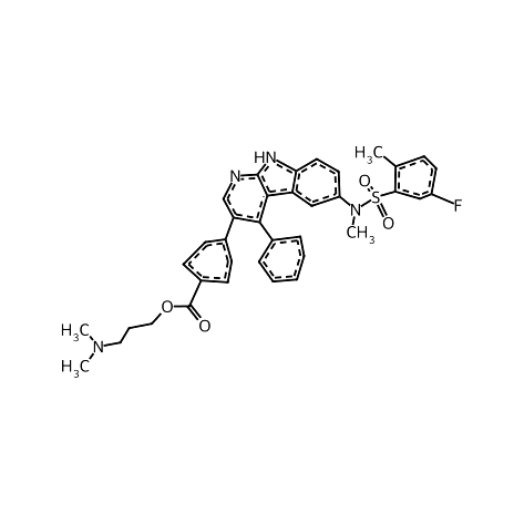 Cc1ccc(F)cc1S(=O)(=O)N(C)c1ccc2[nH]c3ncc(-c4ccc(C(=O)OCCCN(C)C)cc4)c(-c4ccccc4)c3c2c1